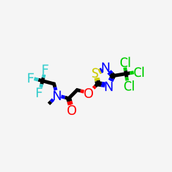 CN(CC(F)(F)F)C(=O)COc1nc(C(Cl)(Cl)Cl)ns1